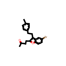 CC(=O)CCc1oc2ccc(Br)cc2c1CCc1ccc(C)cc1